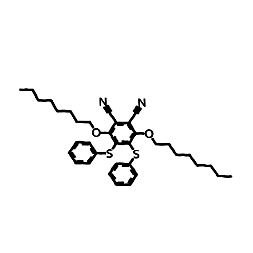 CCCCCCCCOc1c(C#N)c(C#N)c(OCCCCCCCC)c(Sc2ccccc2)c1Sc1ccccc1